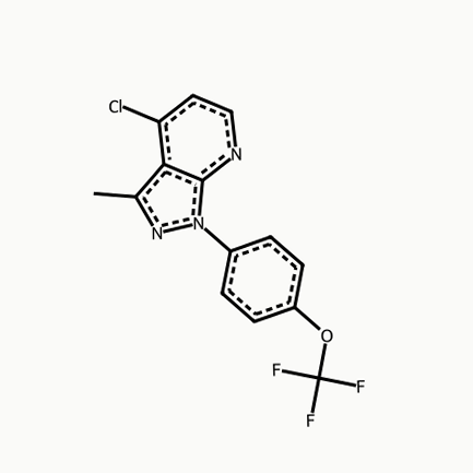 Cc1nn(-c2ccc(OC(F)(F)F)cc2)c2nccc(Cl)c12